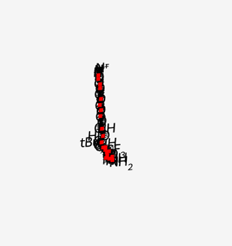 CC(C)(C)OC(=O)[C@H](CCC(=O)NCCNC(=O)CCOCCOCCOCCOCCOCCOCCOCCOCCOCCN=[N+]=[N-])NC(=O)c1ccc(N(Cc2cnc3nc(N)[nH]c(=O)c3n2)C(=O)C(F)(F)F)cc1